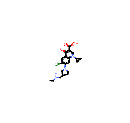 CCNCC1CCN(c2cc3c(cc2Cl)c(=O)c(C(=O)O)cn3C2CC2)C1